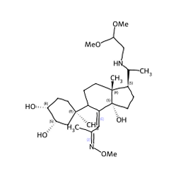 CO/N=C(C)\C=C1/C([C@]2(C)CC[C@@H](O)[C@@H](O)C2)CC[C@]2(C)[C@@H](C(C)NCC(OC)OC)CC[C@@]12O